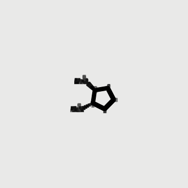 CN[C@H]1CCC[C@@H]1OC